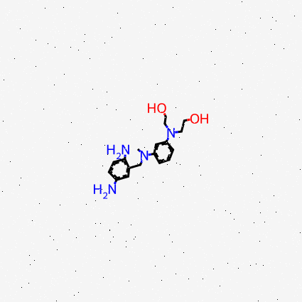 CN(Cc1cc(N)ccc1N)c1cccc(N(CCO)CCO)c1